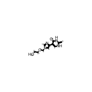 C=C1NC=C(c2cn(COCCO)cn2)C(=O)N1